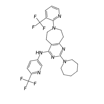 FC(F)(F)c1ccc(Nc2nc(N3CCCCCC3)nc3c2CCN(c2ncccc2C(F)(F)F)CC3)cn1